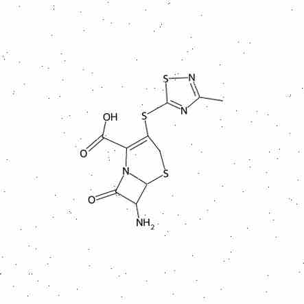 Cc1nsc(SC2=C(C(=O)O)N3C(=O)C(N)C3SC2)n1